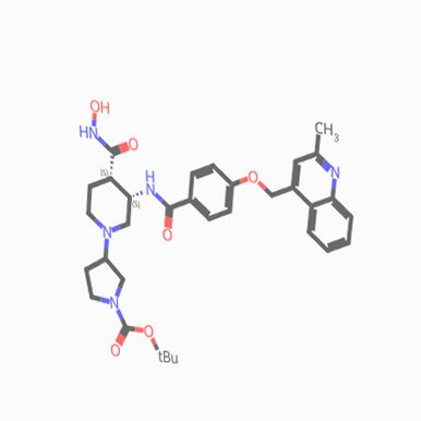 Cc1cc(COc2ccc(C(=O)N[C@@H]3CN(C4CCN(C(=O)OC(C)(C)C)C4)CC[C@@H]3C(=O)NO)cc2)c2ccccc2n1